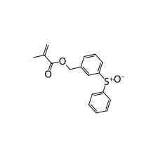 C=C(C)C(=O)OCc1cccc([S+]([O-])c2ccccc2)c1